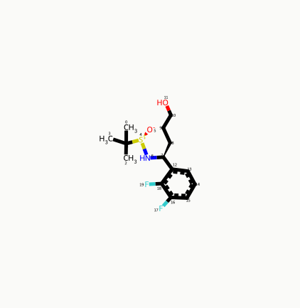 CC(C)(C)[S@@+]([O-])N[C@@H](CCCO)c1cccc(F)c1F